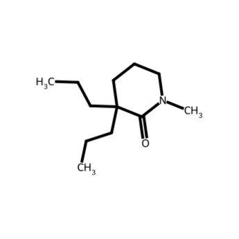 CCCC1(CCC)CCCN(C)C1=O